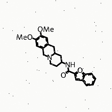 COc1cc2c(cc1OC)CN1CCC(NC(=O)c3cc4ccccc4o3)CC1C2